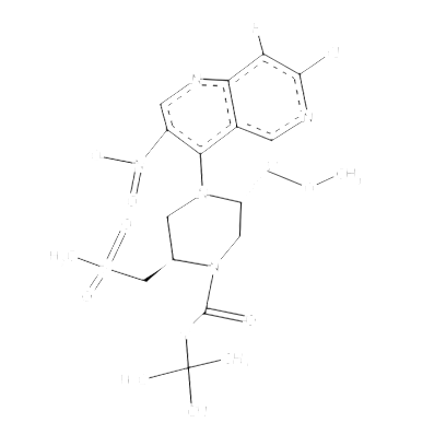 COC(=O)[C@@H]1CN(C(=O)OC(C)(C)C)[C@@H](CS(C)(=O)=O)CN1c1c([N+](=O)[O-])cnc2c(F)c(Cl)ncc12